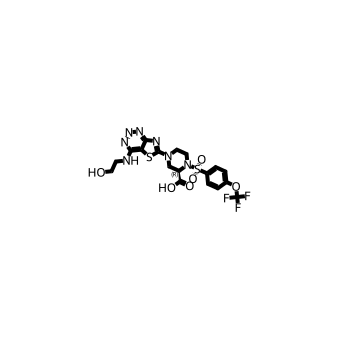 O=C(O)[C@H]1CN(c2nc3nnnc(NCCO)c3s2)CCN1S(=O)(=O)c1ccc(OC(F)(F)F)cc1